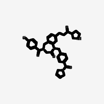 O=C(CCc1ccc2c(c1)N(Cc1ccc(C(=O)N3CC=CC3)cc1)C(=O)CN(C(=O)c1ccc(Cl)cc1)C2)C1CCNC1